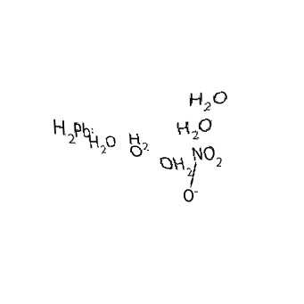 O.O.O.O.O.O=[N+]([O-])[O-].[PbH2]